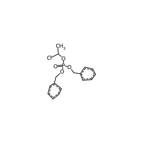 CC(Cl)OP(=O)(OCc1ccccc1)OCc1ccccc1